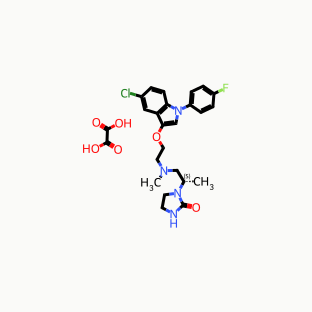 C[C@@H](CN(C)CCOc1cn(-c2ccc(F)cc2)c2ccc(Cl)cc12)N1CCNC1=O.O=C(O)C(=O)O